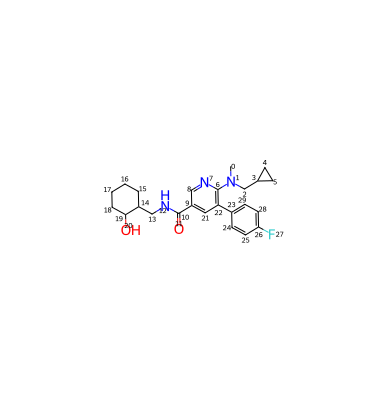 CN(CC1CC1)c1ncc(C(=O)NCC2CCCCC2O)cc1-c1ccc(F)cc1